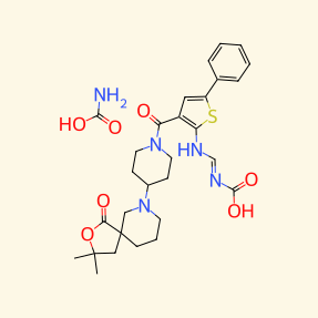 CC1(C)CC2(CCCN(C3CCN(C(=O)c4cc(-c5ccccc5)sc4NC=NC(=O)O)CC3)C2)C(=O)O1.NC(=O)O